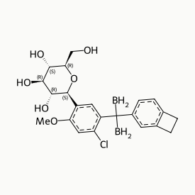 BC(B)(c1ccc2c(c1)CC2)c1cc([C@@H]2O[C@H](CO)[C@@H](O)[C@H](O)[C@H]2O)c(OC)cc1Cl